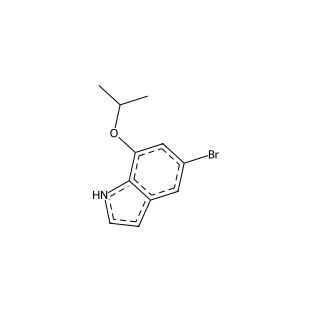 CC(C)Oc1cc(Br)cc2cc[nH]c12